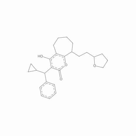 O=c1oc2c(c(O)c1C(c1ccccc1)C1CC1)CCCCC2CCC1CCCO1